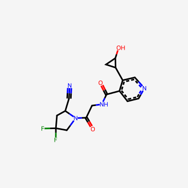 N#CC1CC(F)(F)CN1C(=O)CNC(=O)c1ccncc1C1CC1O